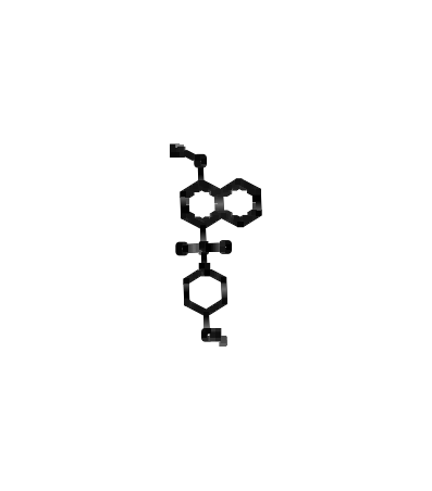 CCOc1ccc(S(=O)(=O)N2CCC(C)CC2)c2ccccc12